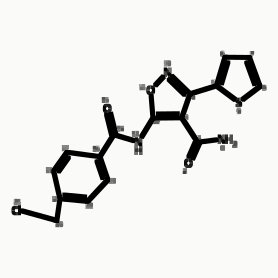 NC(=O)c1c(-c2cccs2)noc1NC(=O)c1ccc(CCl)cc1